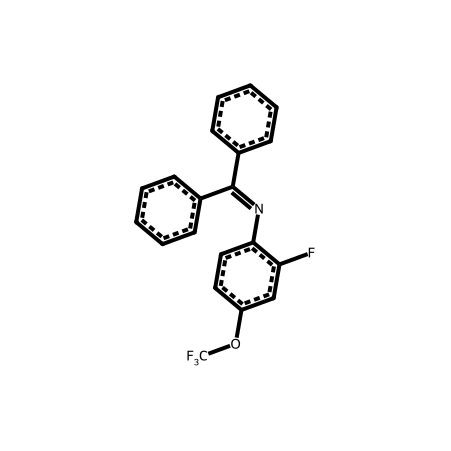 Fc1cc(OC(F)(F)F)ccc1N=C(c1ccccc1)c1ccccc1